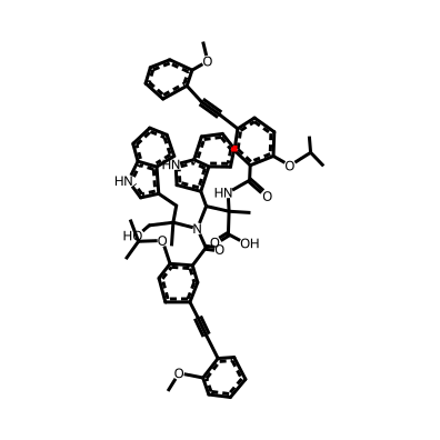 COc1ccccc1C#Cc1ccc(OC(C)C)c(C(=O)NC(C)(C(=O)O)C(c2c[nH]c3ccccc23)N(C(=O)c2cc(C#Cc3ccccc3OC)ccc2OC(C)C)C(C)(CO)Cc2c[nH]c3ccccc23)c1